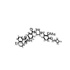 C/C=N\c1c(CC)cccc1S(=O)(=O)Nc1ccc(C(=O)N2CCN(Cc3cccc(OCC4CCC4)c3OC)CC2)cc1